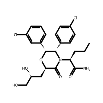 CCC[C@@H](C(N)=O)N1C(=O)[C@@H](C[C@@H](O)CO)O[C@H](c2cccc(Cl)c2)[C@@H]1c1ccc(Cl)cc1